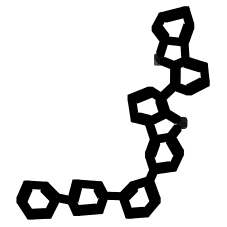 c1ccc(-c2ccc(-c3cccc(-c4ccc5oc6c(-c7cccc8c7sc7ccccc78)cccc6c5c4)c3)cc2)cc1